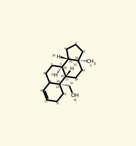 C[C@@]12CCC[C@H]1[C@@H]1CCC3C=CCC[C@]3(CO)[C@H]1CC2